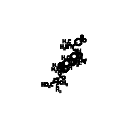 C[C@@H](N)[C@@H](CN[C@]12CC[C@@H](C3(C)CC3)[C@@H]1[C@H]1CC[C@@H]3[C@@]4(C)CC[C@H](OC(=O)[C@H]5C[C@@H](C(=O)O)C5(C)C)C(C)(C)[C@@H]4CC[C@@]3(C)[C@]1(C)CC2)N1CCS(=O)(=O)CC1